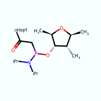 CCCCCCCC(=O)CP(O[C@H]1[C@@H](C)[C@H](C)O[C@@H]1C)N(C(C)C)C(C)C